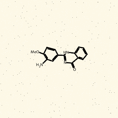 COc1ccc(-c2nc(=O)c3ccccc3[nH]2)cc1N